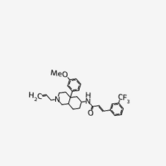 C=CCN1CCC2(c3cccc(OC)c3)CC(NC(=O)/C=C/c3cccc(C(F)(F)F)c3)CCC2C1